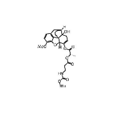 COc1ccc2c3c1O[C@H]1C(OC(=O)[C@H](C)OC(=O)CCNC(=O)OC(C)(C)C)=CC[C@@]4(O)[C@H](CCC[C@]314)C2